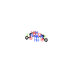 Br.Cc1ccc(C(=O)c2ccccc2F)n1CC(=O)NNNC(=O)Cn1c(C)ccc1C(=O)c1ccccc1F